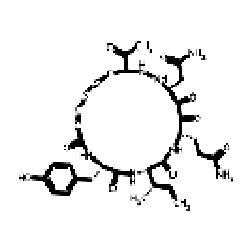 CC[C@H](C)[C@@H]1NC(=O)[C@H](Cc2ccc(O)cc2)NC(=O)CCSSC[C@@H](C(C)=O)NN[C@@H](CC(N)=O)C(=O)C(=O)[C@H](CCC(N)=O)NC1=O